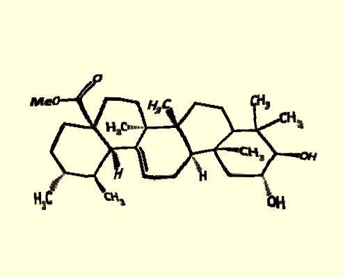 COC(=O)[C@]12CC[C@@H](C)[C@H](C)[C@H]1C1=CC[C@@H]3[C@@]4(C)C[C@@H](O)[C@H](O)C(C)(C)C4CC[C@@]3(C)[C@]1(C)CC2